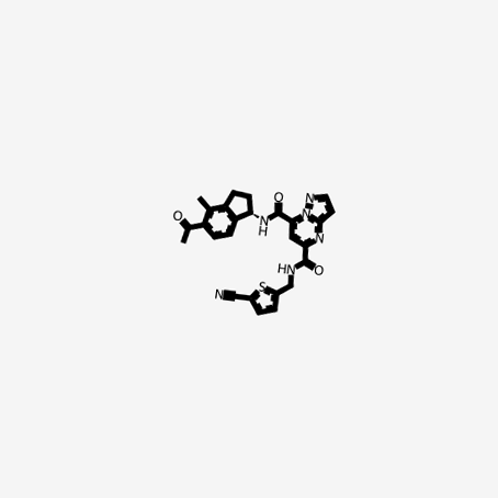 CC(=O)c1ccc2c(c1C)CC[C@@H]2NC(=O)c1cc(C(=O)NCc2ccc(C#N)s2)nc2ccnn12